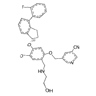 N#Cc1cncc(COc2cc(O[C@H]3CCc4c(-c5ccccc5F)cccc43)c(Cl)cc2CNCCO)c1